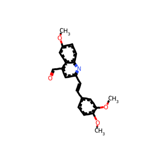 COc1ccc2nc(/C=C/c3ccc(OC)c(OC)c3)cc(C=O)c2c1